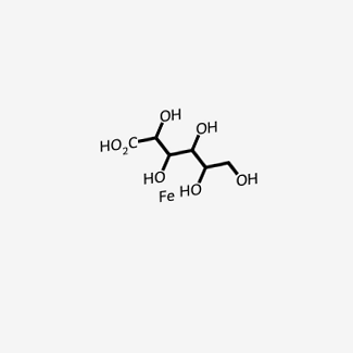 O=C(O)C(O)C(O)C(O)C(O)CO.[Fe]